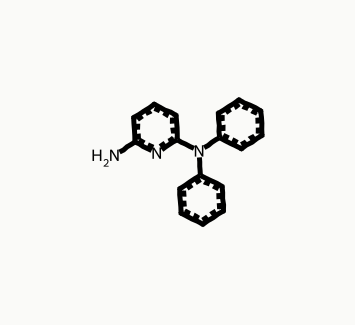 Nc1cccc(N(c2ccccc2)c2ccccc2)n1